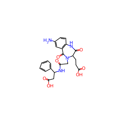 Nc1ccc2c(c1)C(=O)N(CC(=O)NC(CC(=O)O)c1ccccc1)C(CCC(=O)O)C(=O)N2